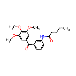 CCCCC(=O)Nc1cccc(C(=O)c2cc(OC)c(OC)c(OC)c2)c1